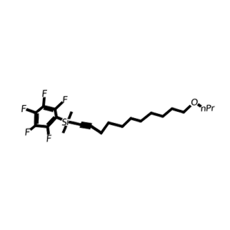 CCCOCCCCCCCCCC#C[Si](C)(C)c1c(F)c(F)c(F)c(F)c1F